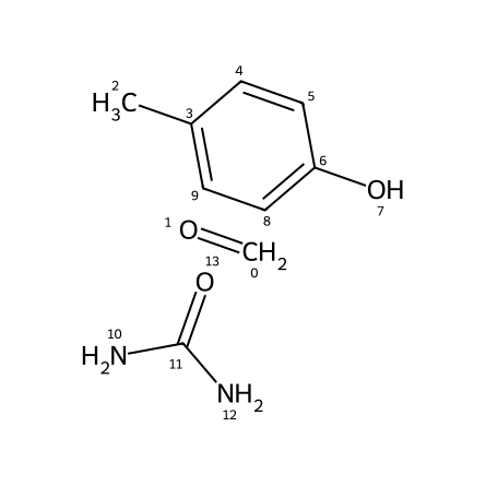 C=O.Cc1ccc(O)cc1.NC(N)=O